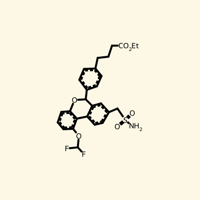 CCOC(=O)CCCc1ccc(C2Oc3cccc(OC(F)F)c3-c3ccc(CS(N)(=O)=O)cc32)cc1